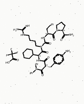 CC(C)C[C@H](NC(=O)N(CCCCNC(=N)N)C(=O)[C@@H](NC(=O)[C@H](Cc1ccc(N)cc1)C(=O)N(C(C)C)C(C)C)C1CCCCC1)C(=O)N1CCC[C@H]1C(N)=O.O=C(O)C(F)(F)F